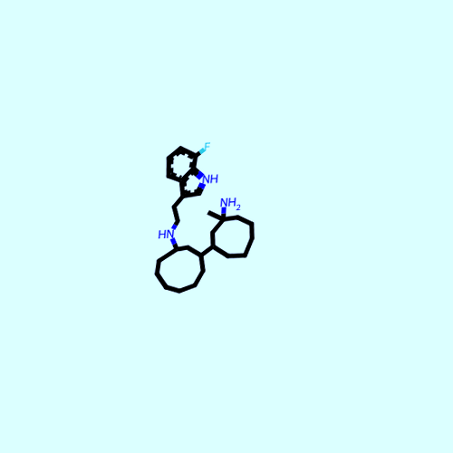 CC1(N)CCCCCC(C2CCCCCCC(NCCc3c[nH]c4c(F)cccc34)C2)C1